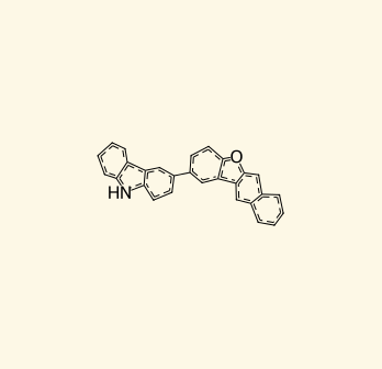 c1ccc2cc3c(cc2c1)oc1ccc(-c2ccc4[nH]c5ccccc5c4c2)cc13